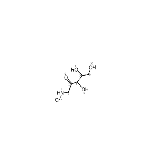 O=C(C[NH][Cr])C(O)C(O)CO